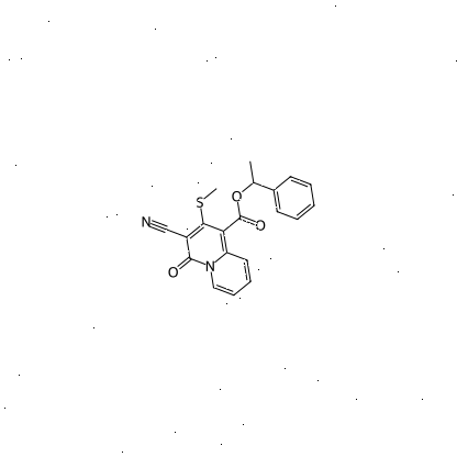 CSc1c(C#N)c(=O)n2ccccc2c1C(=O)OC(C)c1ccccc1